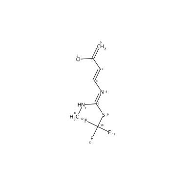 C=C(Cl)/C=C/N=C(\NC)SC(F)(F)F